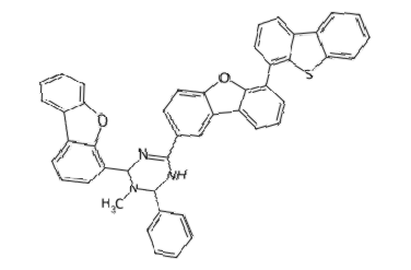 CN1C(c2cccc3c2oc2ccccc23)N=C(c2ccc3oc4c(-c5cccc6c5sc5ccccc56)cccc4c3c2)NC1c1ccccc1